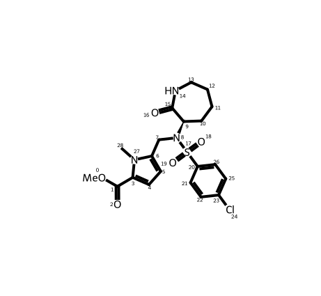 COC(=O)c1ccc(CN([C@@H]2CCCCNC2=O)S(=O)(=O)c2ccc(Cl)cc2)n1C